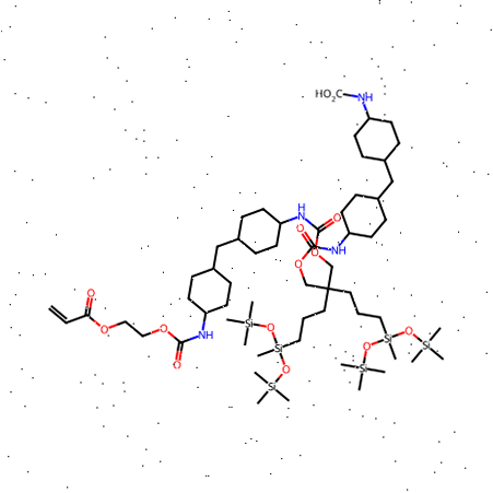 C=CC(=O)OCCOC(=O)NC1CCC(CC2CCC(NC(=O)OCC(CCC[Si](C)(O[Si](C)(C)C)O[Si](C)(C)C)(CCC[Si](C)(O[Si](C)(C)C)O[Si](C)(C)C)COC(=O)NC3CCC(CC4CCC(NC(=O)O)CC4)CC3)CC2)CC1